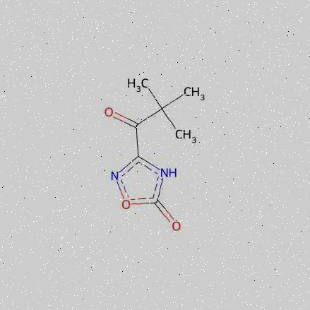 CC(C)(C)C(=O)c1noc(=O)[nH]1